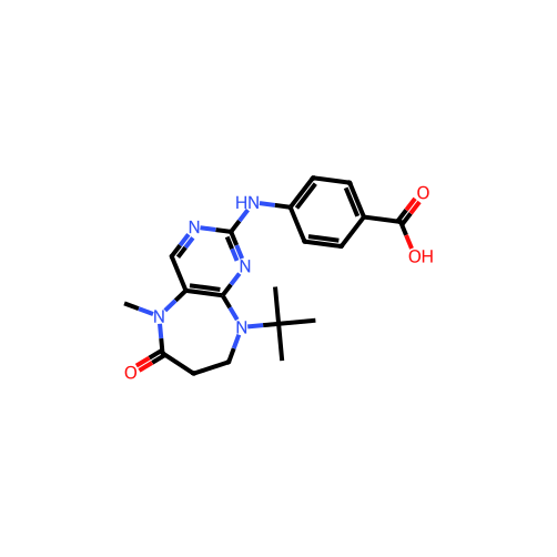 CN1C(=O)CCN(C(C)(C)C)c2nc(Nc3ccc(C(=O)O)cc3)ncc21